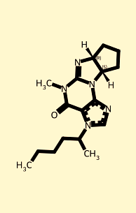 CCCCC(C)n1cnc2c1C(=O)N(C)C1=N[C@@H]3CCC[C@@H]3N12